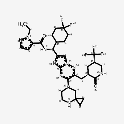 CCn1nccc1C(=O)N[C@H](c1cn2nc(C[C@H]3C[C@@H](C(F)(F)F)CNC3=O)c(N3CCNC4(CC4)C3)nc2n1)C1CCC(F)(F)CC1